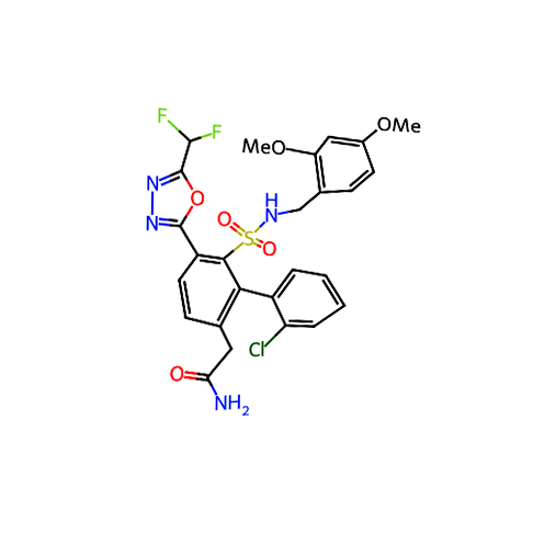 COc1ccc(CNS(=O)(=O)c2c(-c3nnc(C(F)F)o3)ccc(CC(N)=O)c2-c2ccccc2Cl)c(OC)c1